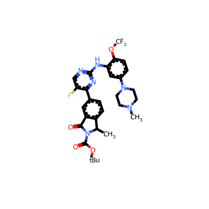 CC1c2ccc(-c3nc(Nc4cc(N5CCN(C)CC5)ccc4OC(F)(F)F)ncc3F)cc2C(=O)N1C(=O)OC(C)(C)C